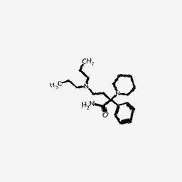 CCCN(CCC)CCC(C(N)=O)(c1ccccc1)N1CCCCC1